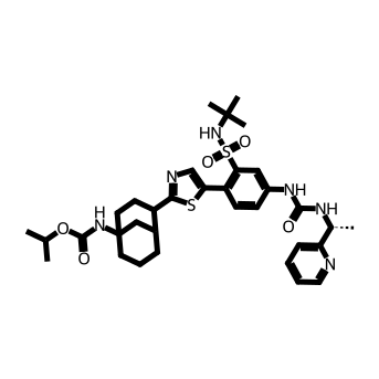 CC(C)OC(=O)NC12CCCC(C1)C(c1ncc(-c3ccc(NC(=O)N[C@H](C)c4ccccn4)cc3S(=O)(=O)NC(C)(C)C)s1)CC2